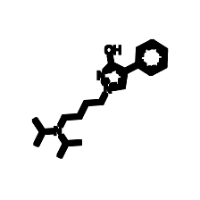 CC(C)N(CCCCn1cc(-c2ccccc2)c(O)n1)C(C)C